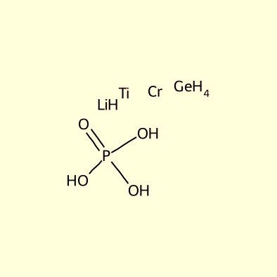 O=P(O)(O)O.[Cr].[GeH4].[LiH].[Ti]